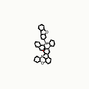 c1ccc2c(c1)Oc1cccc3c4cc(-c5ccccc5N(c5ccc6c(c5)oc5ccccc56)c5cccc6ccccc56)ccc4n-2c13